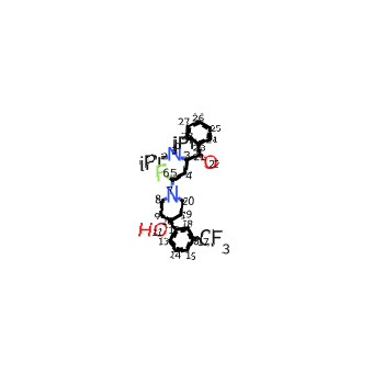 CC(C)N(C(C)C)C(CC(F)N1CCC(O)(c2cccc(C(F)(F)F)c2)CC1)C(=O)c1ccccc1